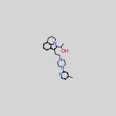 Cc1ccnc(N2CCN(CCc3c(C(C)O)n4c5c(cccc35)CCC4)CC2)c1